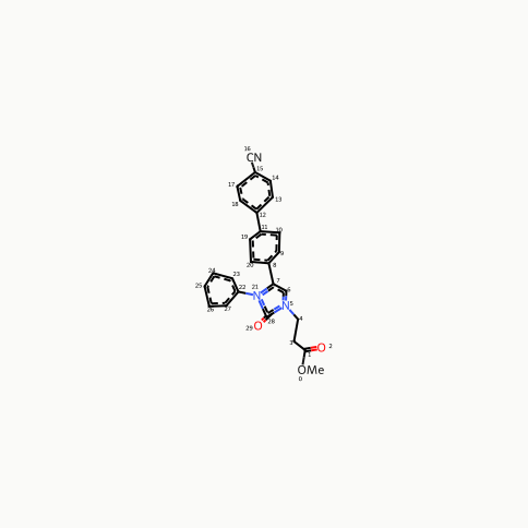 COC(=O)CCn1cc(-c2ccc(-c3ccc(C#N)cc3)cc2)n(-c2ccccc2)c1=O